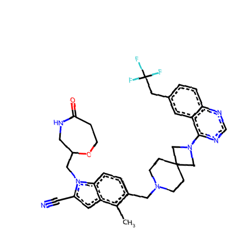 Cc1c(CN2CCC3(CC2)CN(c2ncnc4ccc(CC(F)(F)F)cc24)C3)ccc2c1cc(C#N)n2CC1CNC(=O)CCO1